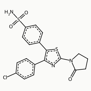 NS(=O)(=O)c1ccc(-c2sc(N3CCCC3=O)nc2-c2ccc(Cl)cc2)cc1